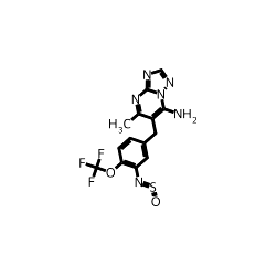 Cc1nc2ncnn2c(N)c1Cc1ccc(OC(F)(F)F)c(N=S=O)c1